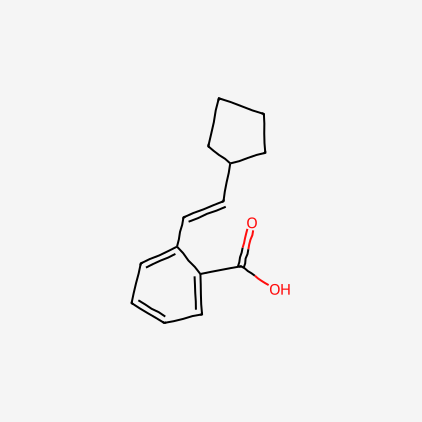 O=C(O)c1ccccc1/C=C/C1CCCC1